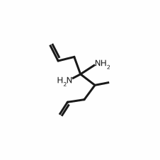 C=CCC(C)C(N)(N)CC=C